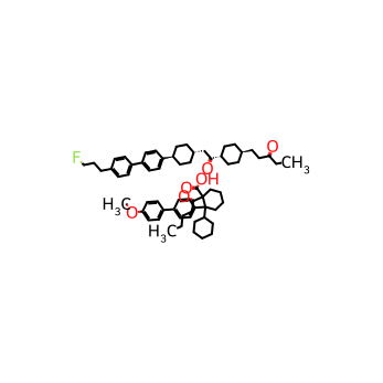 CCC(=O)CC[C@H]1CC[C@H](C(=O)C[C@H]2CC[C@H](c3ccc(-c4ccc(CCCF)cc4)cc3)CC2)CC1.CCCCC(=O)C1(C(=O)O)CCCCC1(c1ccc(-c2ccc(OC)cc2)cc1)C1CCCCC1